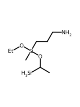 CCO[Si](C)(CCCN)OC(C)[SiH3]